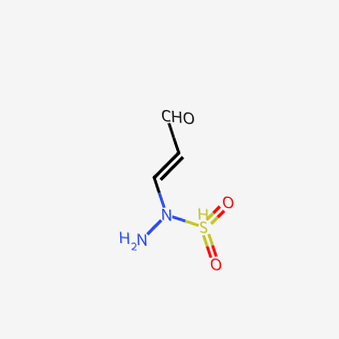 NN(C=CC=O)[SH](=O)=O